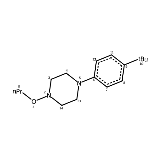 CCCON1CCN(c2ccc(C(C)(C)C)cc2)CC1